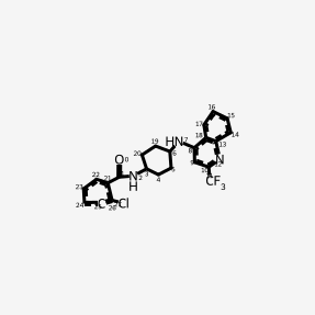 O=C(NC1CCC(Nc2cc(C(F)(F)F)nc3ccccc23)CC1)c1ccccc1Cl